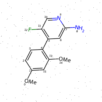 COc1ccc(-c2cc(N)ncc2F)c(OC)c1